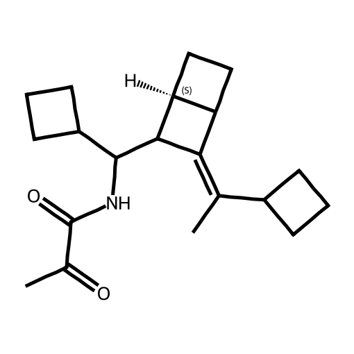 CC(=O)C(=O)NC(C1CCC1)C1C(=C(C)C2CCC2)C2CC[C@@H]21